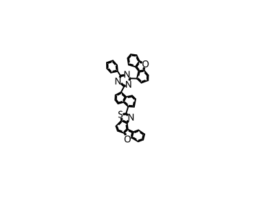 c1ccc(-c2nc(-c3cccc4c(-c5nc6c(ccc7oc8ccccc8c76)s5)cccc34)nc(-c3cccc4oc5ccccc5c34)n2)cc1